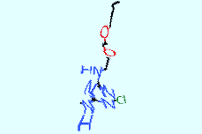 CCCOCCOCCNc1nc(Cl)nc(NC)n1